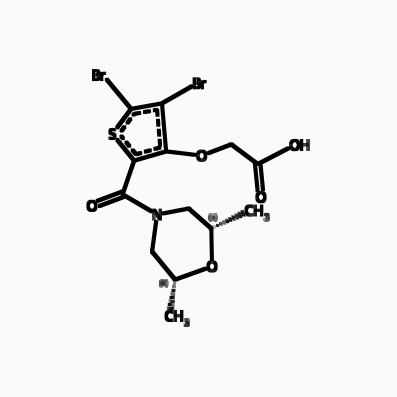 C[C@@H]1CN(C(=O)c2sc(Br)c(Br)c2OCC(=O)O)C[C@H](C)O1